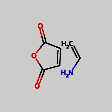 C=CN.O=C1C=CC(=O)O1